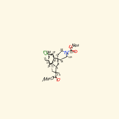 COC(=O)C(C)(C)C1CC2(CCN(C(=O)OC(C)(C)C)CC2)c2cc(Cl)c(C)cc21